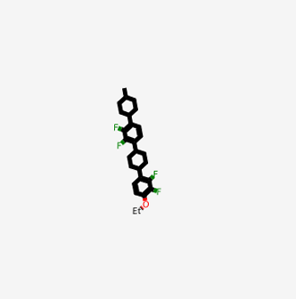 CCOc1ccc(C2CCC(c3ccc(C4CCC(C)CC4)c(F)c3F)CC2)c(F)c1F